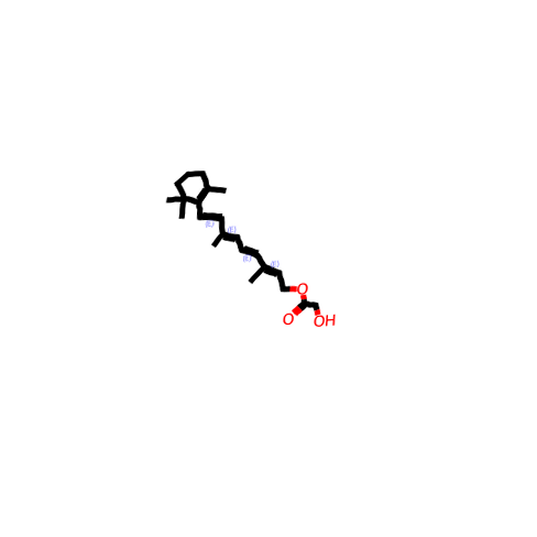 CC1=C(/C=C/C(C)=C/C=C/C(C)=C/COC(=O)CO)C(C)(C)CCC1